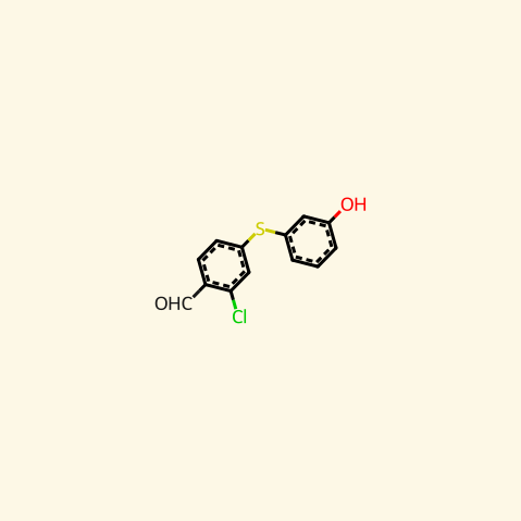 O=Cc1ccc(Sc2cccc(O)c2)cc1Cl